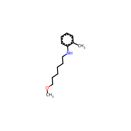 COCCCCCCNc1ccccc1C